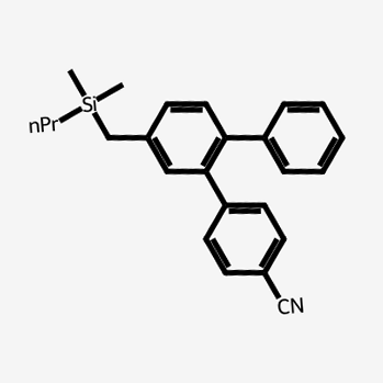 CCC[Si](C)(C)Cc1ccc(-c2ccccc2)c(-c2ccc(C#N)cc2)c1